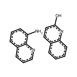 Nc1cccc2cccnc12.Oc1ccc2ccccc2n1